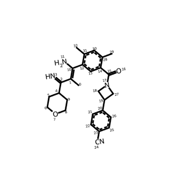 C/C(C(=N)C1CCOCC1)=C(/N)c1cc(C(=O)N2CC(c3ccc(C#N)cc3)C2)c(C)cc1C